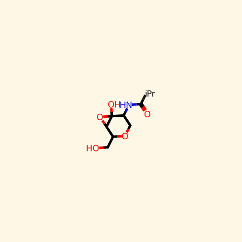 CC(C)C(=O)NC1COC(CO)C2OC12O